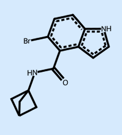 O=C(NC12CC(C1)C2)c1c(Br)ccc2[nH]ccc12